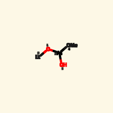 CCO[As](O)OC